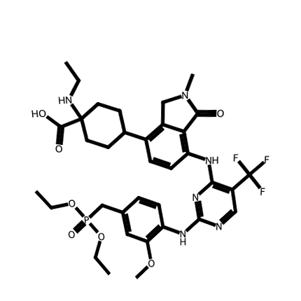 CCNC1(C(=O)O)CCC(c2ccc(Nc3nc(Nc4ccc(CP(=O)(OCC)OCC)cc4OC)ncc3C(F)(F)F)c3c2CN(C)C3=O)CC1